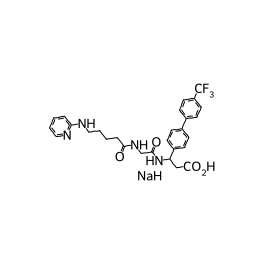 O=C(O)CC(NC(=O)CNC(=O)CCCCNc1ccccn1)c1ccc(-c2ccc(C(F)(F)F)cc2)cc1.[NaH]